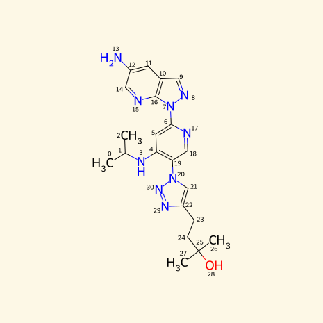 CC(C)Nc1cc(-n2ncc3cc(N)cnc32)ncc1-n1cc(CCC(C)(C)O)nn1